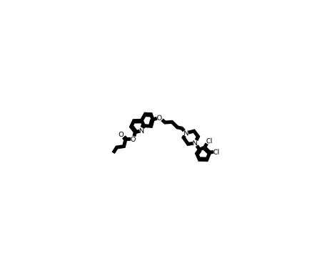 CCCC(=O)Oc1ccc2ccc(OCCCCN3CCN(c4cccc(Cl)c4Cl)CC3)cc2n1